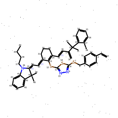 C=Cc1ccc(CSc2nnc(SC3=C(/C=C/C(=C)C(C)(C)c4ccccc4C)CCC/C3=C\C=C3\N(CCCC)c4ccccc4C3(C)C)s2)cc1